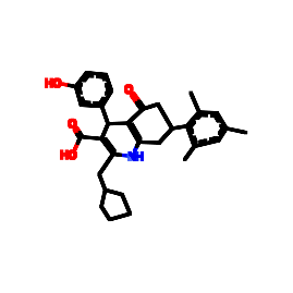 Cc1cc(C)c(C2CC(=O)C3=C(C2)NC(CC2CCCC2)=C(C(=O)O)C3c2cccc(O)c2)c(C)c1